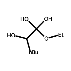 CCCCC(O)C(O)(O)OCC